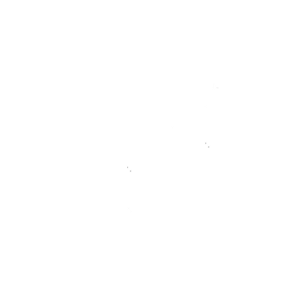 CN([S@+]([O-])C(C)(C)C)C(C)(C)Cc1ccc(Br)cn1